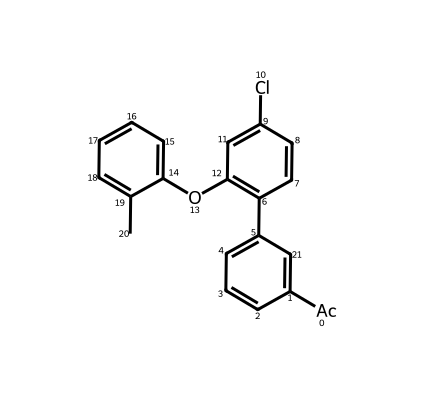 CC(=O)c1cccc(-c2ccc(Cl)cc2Oc2ccccc2C)c1